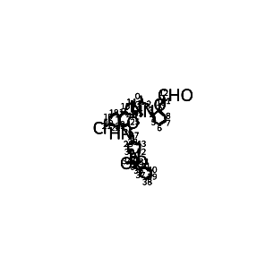 CC(CNc1ccccc1OCC=O)N1CCC(c2ccc(Cl)cc2C(=O)NCC2CCN(S(=O)(=O)Cc3ccccc3)CC2)CC1